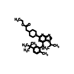 CCOC(=O)CC1CCN(c2nc(Nc3cc(C(C)(C)C)ccc3C)c3c(ncn3C(C)C)n2)CC1